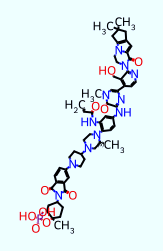 C=CC(=O)Nc1cc(Nc2nc(-c3ccnc(N4CCn5c(cc6c5CC(C)(C)C6)C4=O)c3CO)cn(C)c2=O)ccc1N1CCN(C2CCN(c3ccc4c(c3)C(=O)N(C3CCC(C)(OP(=O)(O)O)CC3)C4=O)CC2)C[C@@H]1C